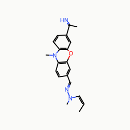 C/C=C\N(C)/N=C/c1ccc2c(c1)Oc1cc(C(C)=N)ccc1N2C